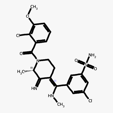 CN/C(=C1/CCN(C(=O)c2cccc(OC)c2Cl)[C@@H](C)C1=N)c1cc(Cl)cc(S(N)(=O)=O)c1